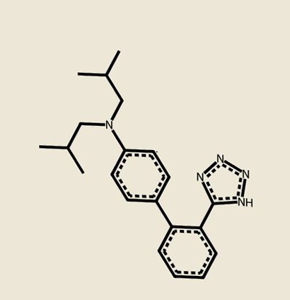 CC(C)CN(CC(C)C)c1[c]cc(-c2ccccc2-c2nnn[nH]2)cc1